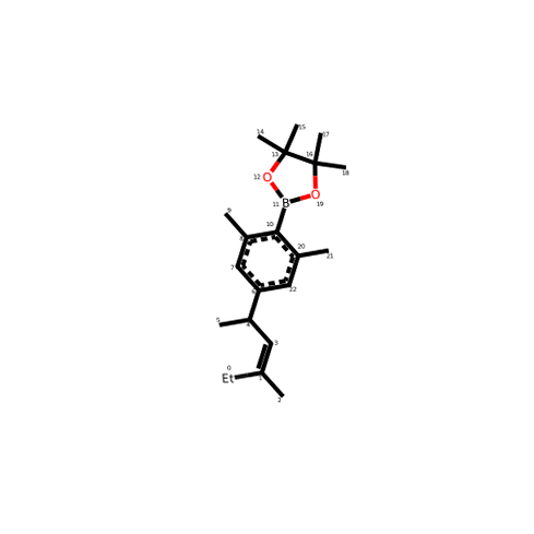 CC/C(C)=C\C(C)c1cc(C)c(B2OC(C)(C)C(C)(C)O2)c(C)c1